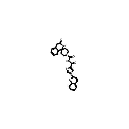 O=C1Cc2ccccc2C2(CCN(C(=O)NC(=O)c3cn(-c4ccc5ccccc5n4)cn3)CC2)N1